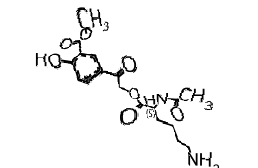 COC(=O)c1cc(C(=O)COC(=O)[C@H](CCCCN)NC(C)=O)ccc1O